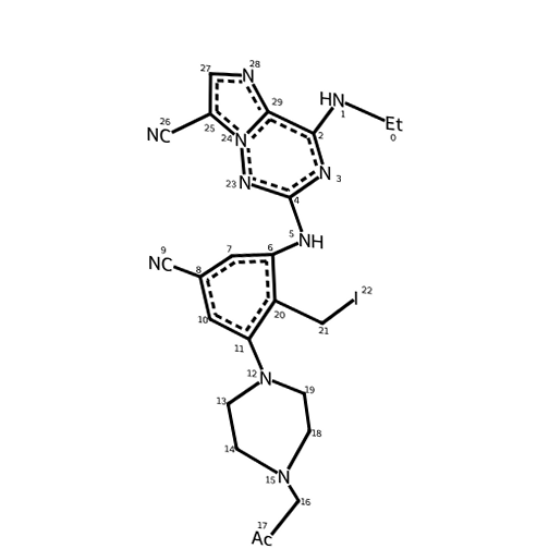 CCNc1nc(Nc2cc(C#N)cc(N3CCN(CC(C)=O)CC3)c2CI)nn2c(C#N)cnc12